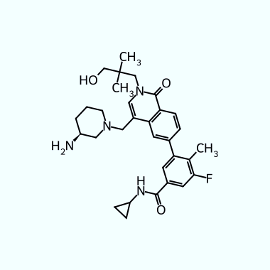 Cc1c(F)cc(C(=O)NC2CC2)cc1-c1ccc2c(=O)n(CC(C)(C)CO)cc(CN3CCC[C@H](N)C3)c2c1